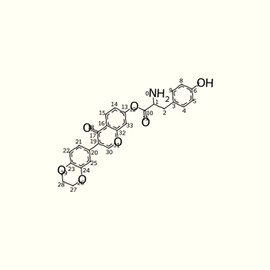 NC(Cc1ccc(O)cc1)C(=O)Oc1ccc2c(=O)c(-c3ccc4c(c3)OCCO4)coc2c1